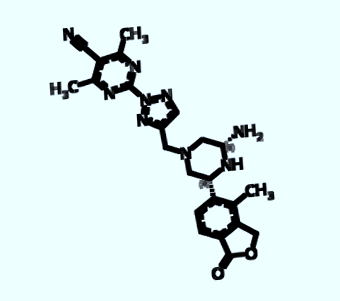 Cc1nc(-n2ncc(CN3C[C@@H](c4ccc5c(c4C)COC5=O)N[C@@H](N)C3)n2)nc(C)c1C#N